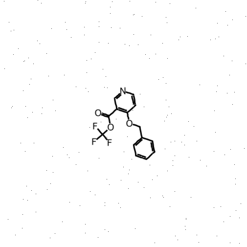 O=C(OC(F)(F)F)c1cnccc1OCc1ccccc1